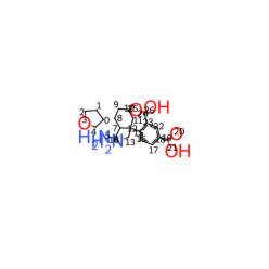 C1CCOC1.NCC1CCCCC1(CN)c1ccc(C(=O)O)cc1C(=O)O